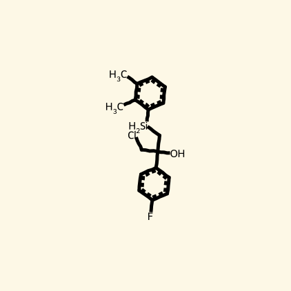 Cc1cccc([SiH2]CC(O)(CCl)c2ccc(F)cc2)c1C